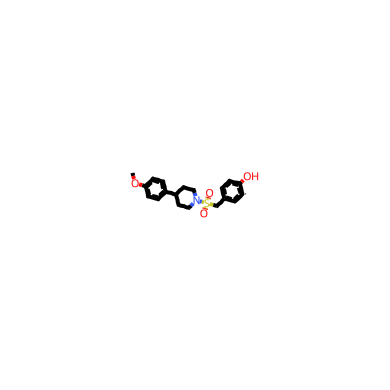 COc1ccc(C2CCN(S(=O)(=O)Cc3c[c]c(O)cc3)CC2)cc1